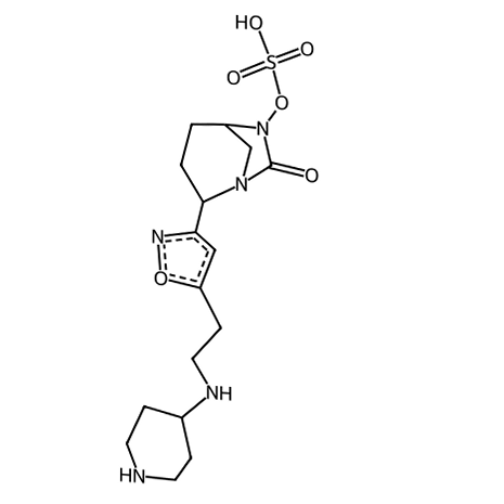 O=C1N2CC(CCC2c2cc(CCNC3CCNCC3)on2)N1OS(=O)(=O)O